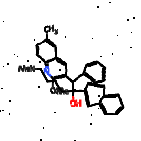 CNCCCCC(O)(c1ccc2ccccc2c1)C(c1ccccc1)c1cc2cc(C)ccc2nc1OC